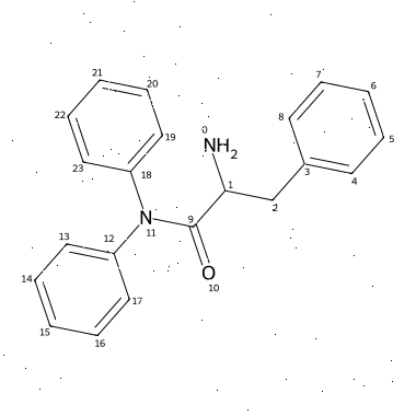 NC(Cc1ccccc1)C(=O)N(c1ccccc1)c1ccccc1